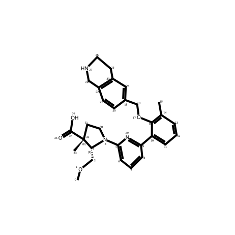 COC[C@H]1N(c2cccc(-c3cccc(C)c3OCc3ccc4c(c3)CCNC4)n2)CC[C@@]1(C)C(=O)O